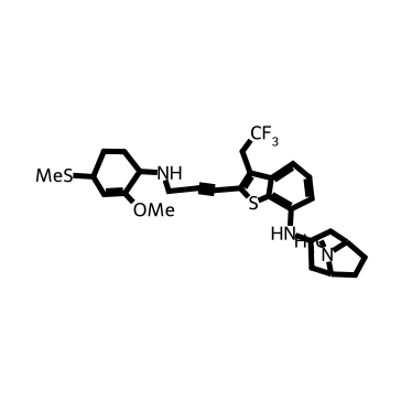 COC1=CC(SC)CCC1NCC#Cc1sc2c(NC3CC4CCC(C3)N4C)cccc2c1CC(F)(F)F